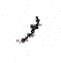 CS(=O)(=O)NCCOCCNC(=O)NCCC1CCN(c2cc(N3CCC3C(=O)NCCc3ccc(C#N)cc3)nc(C(F)(F)F)n2)CC1